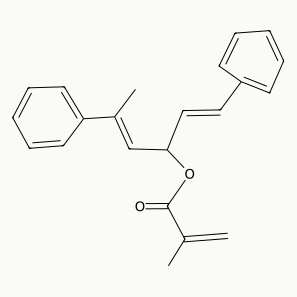 C=C(C)C(=O)OC(C=Cc1ccccc1)C=C(C)c1ccccc1